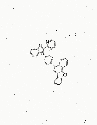 c1cnc(-c2nc3ccccc3n2-c2ccc(-c3cc4c5ccccc5oc4c4ccccc34)cc2)nc1